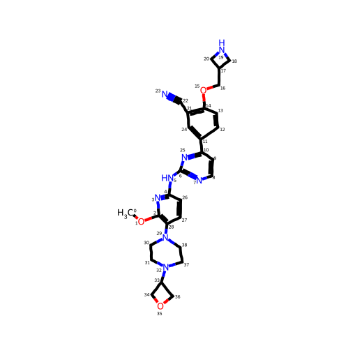 COc1nc(Nc2nccc(-c3ccc(OCC4CNC4)c(C#N)c3)n2)ccc1N1CCN(C2COC2)CC1